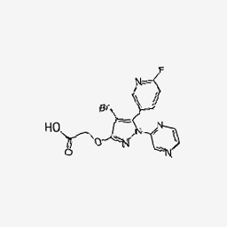 O=C(O)COc1nn(-c2cnccn2)c(-c2ccc(F)nc2)c1Br